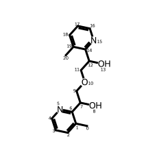 Cc1cccnc1C(O)COCC(O)c1ncccc1C